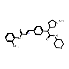 Nc1ccccc1NC(=O)/C=C/c1ccc(C(C(=O)NC2CCOCC2)N2CC[C@H](O)C2)cc1